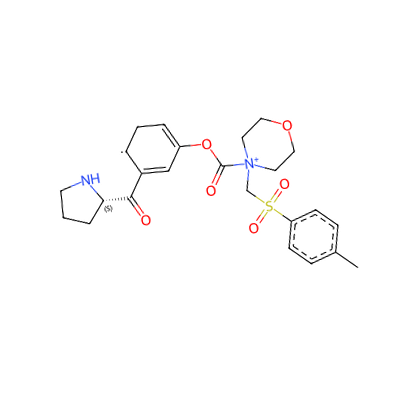 Cc1ccc(S(=O)(=O)C[N+]2(C(=O)OC3=CC[CH]C(C(=O)[C@@H]4CCCN4)=C3)CCOCC2)cc1